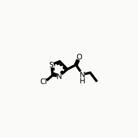 CCNC(=O)c1csc(Cl)n1